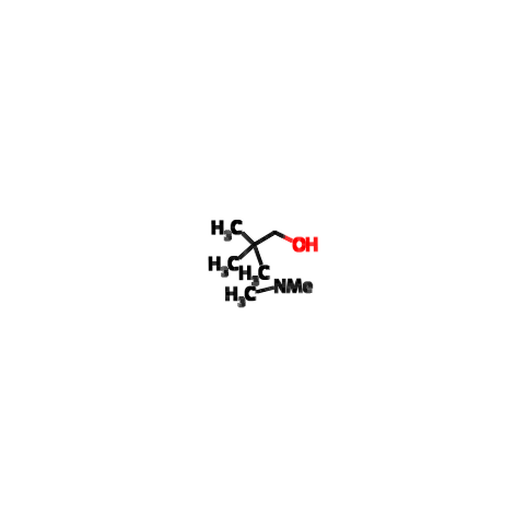 CC(C)(C)CO.CNC